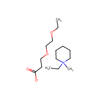 CCOCCOCCC(=O)[O-].CC[N+]1(C)CCCCC1